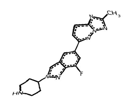 Cc1nc2ccc(-c3cc(F)c4nn(C5CCNCC5)cc4c3)nn2n1